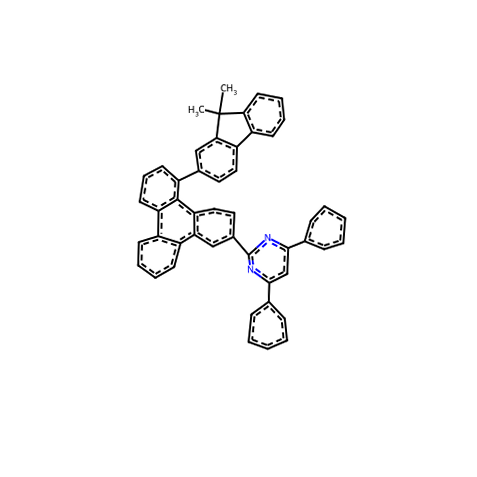 CC1(C)c2ccccc2-c2ccc(-c3cccc4c5ccccc5c5cc(-c6nc(-c7ccccc7)cc(-c7ccccc7)n6)ccc5c34)cc21